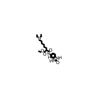 CCOC(=O)C(CCCCCCN(CC)CC)C(=O)Nc1ccc2[nH]c(=O)[nH]c2c1